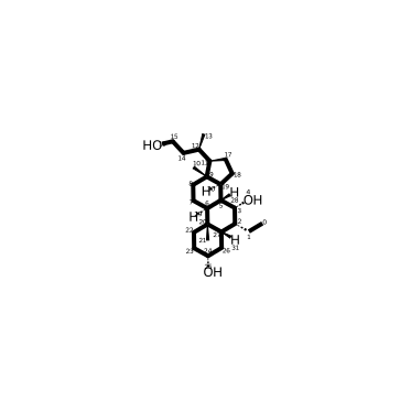 CC[C@H]1[C@@H](O)[C@@H]2[C@H](CC[C@]3(C)[C@@H]([C@H](C)CCO)CC[C@@H]23)[C@@]2(C)CC[C@@H](O)C[C@@H]12